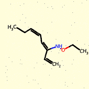 C=C/C(=C/C=C\CC)NOCC